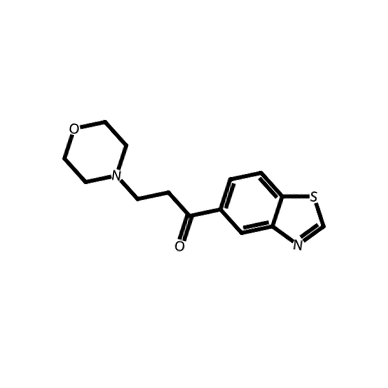 O=C(CCN1CCOCC1)c1ccc2scnc2c1